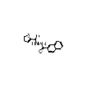 O=C(NNC(=O)c1ccc2ccccc2c1)C1=CCCS1